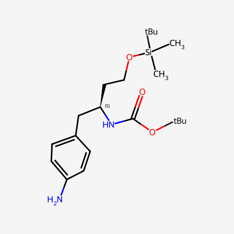 CC(C)(C)OC(=O)N[C@H](CCO[Si](C)(C)C(C)(C)C)Cc1ccc(N)cc1